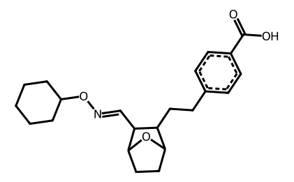 O=C(O)c1ccc(CCC2C3CCC(O3)C2/C=N/OC2CCCCC2)cc1